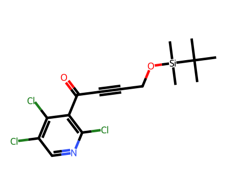 CC(C)(C)[Si](C)(C)OCC#CC(=O)c1c(Cl)ncc(Cl)c1Cl